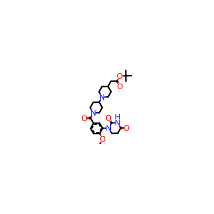 COc1ccc(C(=O)N2CCC(N3CCC(CC(=O)OC(C)(C)C)CC3)CC2)cc1N1CCC(=O)NC1=O